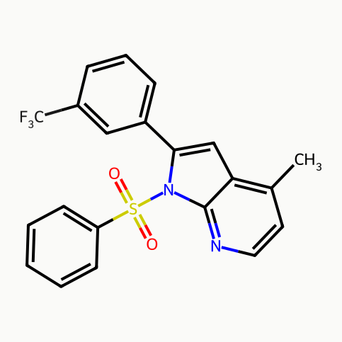 Cc1ccnc2c1cc(-c1cccc(C(F)(F)F)c1)n2S(=O)(=O)c1ccccc1